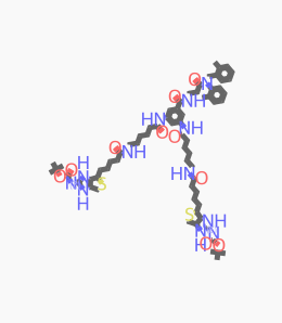 Cc1ccccc1CN(C(=O)CCNC(=O)c1cc(NC(=O)CCCCCNC(=O)CCCCC2SCC3N/C(=N/C(=O)OC(C)(C)C)NC32)cc(NC(=O)CCCCCNC(=O)CCCCC2SCC3N/C(=N\C(=O)OC(C)(C)C)NC32)c1)c1ccccc1C